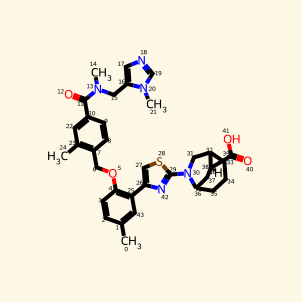 Cc1ccc(OCc2ccc(C(=O)N(C)Cc3cncn3C)cc2C)c(-c2csc(N3CC4CCCC3C[C@@H]4C(=O)O)n2)c1